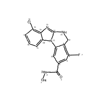 O=C(NO)c1cc(F)c2c(c1)-n1c(nc3c(Cl)cccc31)NC2